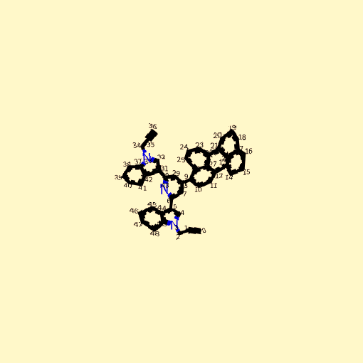 C#CCn1cc(-c2cc(-c3ccc4c5cccc6cccc(c7cccc3c74)c65)cc(-c3cn(CC#C)c4ccccc34)n2)c2ccccc21